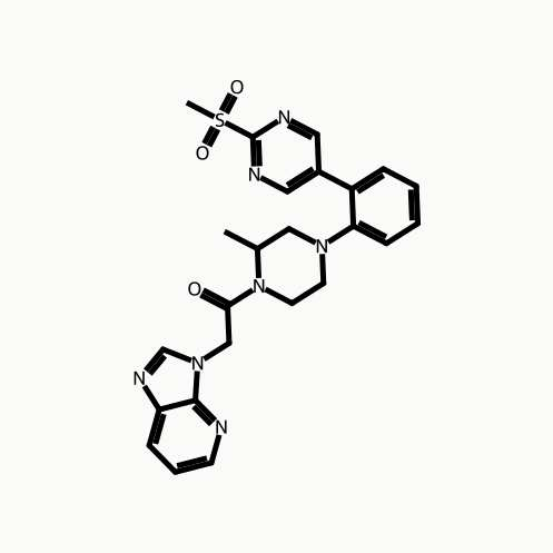 CC1CN(c2ccccc2-c2cnc(S(C)(=O)=O)nc2)CCN1C(=O)Cn1cnc2cccnc21